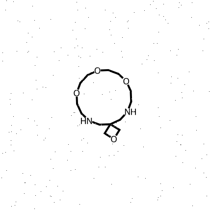 C1COCCOCCOCCNCC2(CN1)COC2